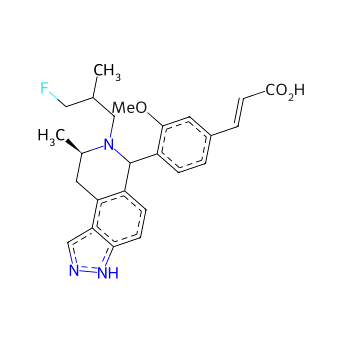 COc1cc(/C=C/C(=O)O)ccc1C1c2ccc3[nH]ncc3c2C[C@@H](C)N1CC(C)CF